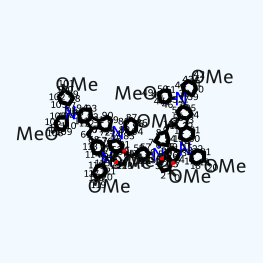 COc1ccc(N(c2ccc(C=C3c4cc(N(c5ccc(OC)cc5)c5ccc(OC)cc5)ccc4-c4ccc(N(c5ccc(OC)cc5)c5ccc(OC)cc5)cc43)cc2)c2ccc(-c3ccc(N(c4ccc(C=C5c6cc(N(c7ccc(OC)cc7)c7ccc(OC)cc7)ccc6-c6ccc(N(c7ccc(OC)cc7)c7ccc(OC)cc7)cc65)cc4)c4ccc(OC)cc4)cc3)cc2)cc1